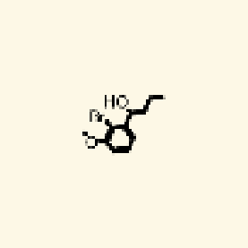 CCCC(O)c1cccc(OC)c1Br